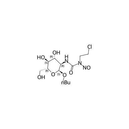 CCCCO[C@H]1O[C@H](CO)[C@@H](O)[C@H](O)[C@H]1NC(=O)N(CCCl)N=O